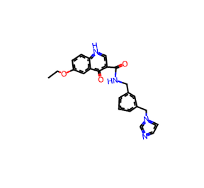 CCOc1ccc2[nH]cc(C(=O)NCc3cccc(Cn4ccnc4)c3)c(=O)c2c1